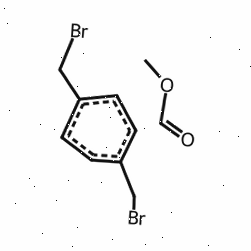 BrCc1ccc(CBr)cc1.COC=O